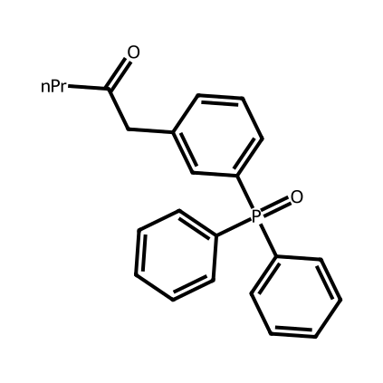 CCCC(=O)Cc1cccc(P(=O)(c2ccccc2)c2ccccc2)c1